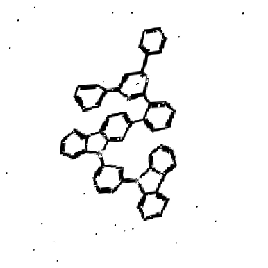 c1ccc(-c2cc(-c3ccccc3)nc(-c3ccccc3-c3ccc4c5ccccc5n(-c5cccc(-n6c7ccccc7c7ccccc76)c5)c4c3)n2)cc1